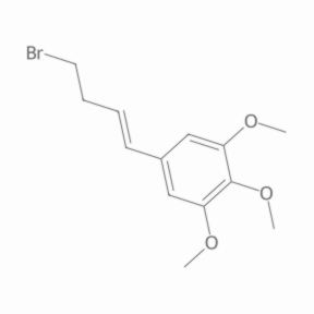 COc1cc(C=CCCBr)cc(OC)c1OC